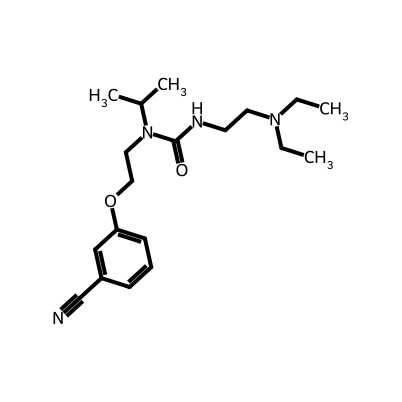 CCN(CC)CCNC(=O)N(CCOc1cccc(C#N)c1)C(C)C